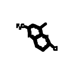 Cc1cc(C(F)(F)F)nc2ccc(Cl)nc12